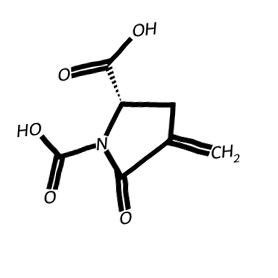 C=C1C[C@@H](C(=O)O)N(C(=O)O)C1=O